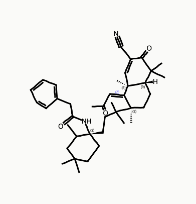 CC(=O)/C=C1/[C@@]2(C)C=C(C#N)C(=O)C(C)(C)[C@@H]2CC[C@@]1(C)C(C)(C)CC[C@@]1(NC(=O)Cc2ccccc2)CCC(C)(C)CC1C